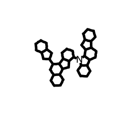 C1CCC2CC(C3CC4CCCCC4C4CC5C(CCCC5N5C6CCCCC6C6CCC7C8CCCCC8CC7C65)C34)CC2C1